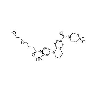 COCCOCCCC(=O)n1ccc(N2CCCc3cc(C(=O)N4CCC(C)(F)CC4)cnc32)cc1=N